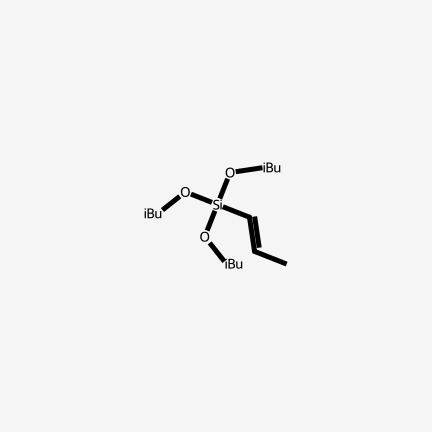 CC=C[Si](OC(C)CC)(OC(C)CC)OC(C)CC